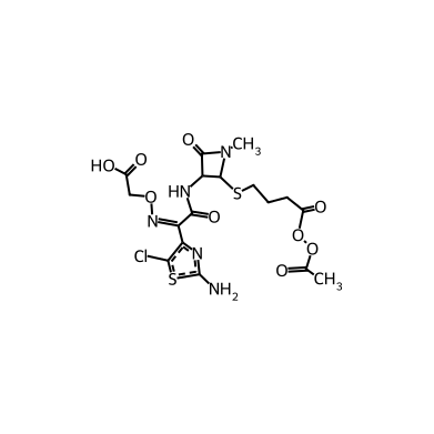 CC(=O)OOC(=O)CCCSC1C(NC(=O)/C(=N\OCC(=O)O)c2nc(N)sc2Cl)C(=O)N1C